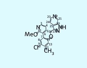 COc1ncccc1-c1cc(Cl)c(C)cc1OCc1n[nH]c2cnccc12